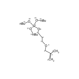 C=C(C)COCCCO[Si](OCCCC)(OCCCC)OCCCC